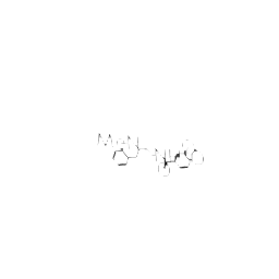 CN[C@H](CCNC(=O)c1ccc2c(c1)OCO2)Cc1ccccc1